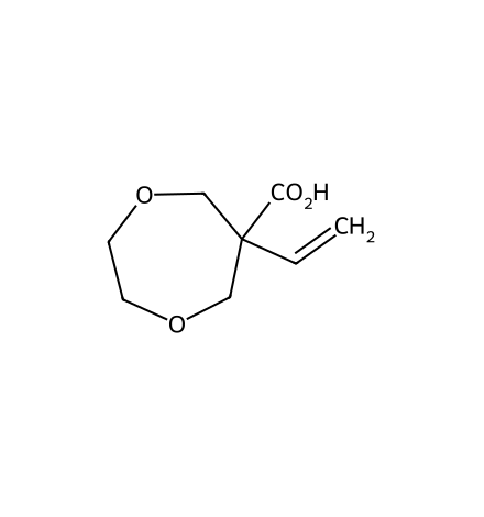 C=CC1(C(=O)O)COCCOC1